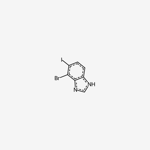 Brc1c(I)ccc2[nH]cnc12